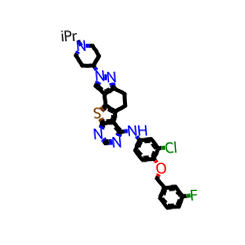 CC(C)N1CCC(n2cc3c(n2)CCc2c-3sc3ncnc(Nc4ccc(OCc5cccc(F)c5)c(Cl)c4)c23)CC1